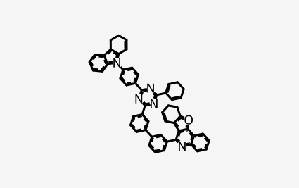 C1=CC(c2nc(-c3ccc(-n4c5c(c6ccccc64)CCC=C5)cc3)nc(-c3cccc(-c4cccc(-c5nc6ccccc6c6oc7c(c56)C=CCC7)c4)c3)n2)=CCC1